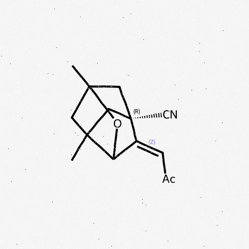 CC(=O)/C=C1\C2OC3(C)CC2(C)C[C@@]1(C#N)C3